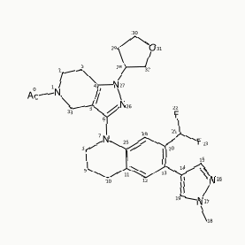 CC(=O)N1CCc2c(c(N3CCCc4cc(-c5cnn(C)c5)c(C(F)F)cc43)nn2C2CCOC2)C1